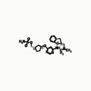 CN(C)C[C@H]1Cc2ccccc2[C@H]1Nc1cc(O[C@H]2CC[C@H](COS(N)(=O)=O)C2)ncn1